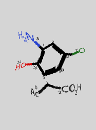 CC(=O)CC(=O)O.Nc1cc(Cl)ccc1O